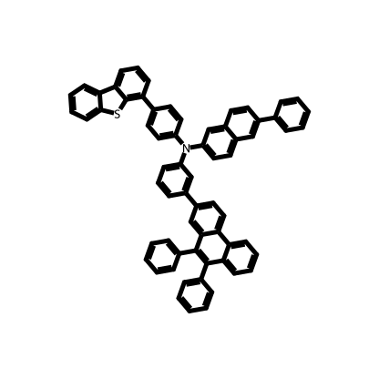 c1ccc(-c2ccc3cc(N(c4ccc(-c5cccc6c5sc5ccccc56)cc4)c4cccc(-c5ccc6c(c5)c(-c5ccccc5)c(-c5ccccc5)c5ccccc56)c4)ccc3c2)cc1